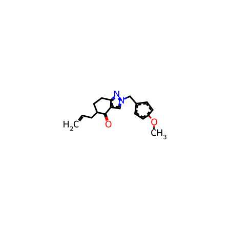 C=CCC1CCc2nn(Cc3ccc(OC)cc3)cc2C1=O